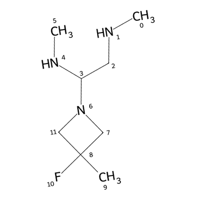 CNCC(NC)N1CC(C)(F)C1